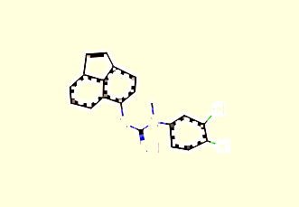 CN(C(=N)Nc1ccc2c3c(cccc13)C=C2)c1ccc(Cl)c(Cl)c1